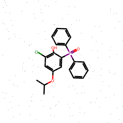 CC(C)Oc1cc(Cl)c(O)c(P(=O)(c2ccccc2)c2ccccc2)c1